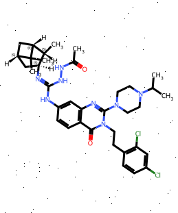 CC(=O)NNC(=N[C@H]1C[C@@H]2C[C@H]([C@@H]1C)C2(C)C)Nc1ccc2c(=O)n(CCc3ccc(Cl)cc3Cl)c(N3CCN(C(C)C)CC3)nc2c1